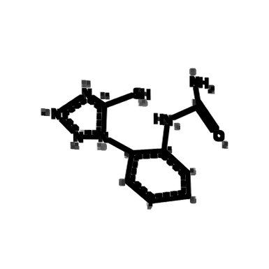 NC(=O)Nc1ccccc1-n1nnnc1S